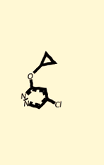 Clc1cnnc(OC2CC2)c1